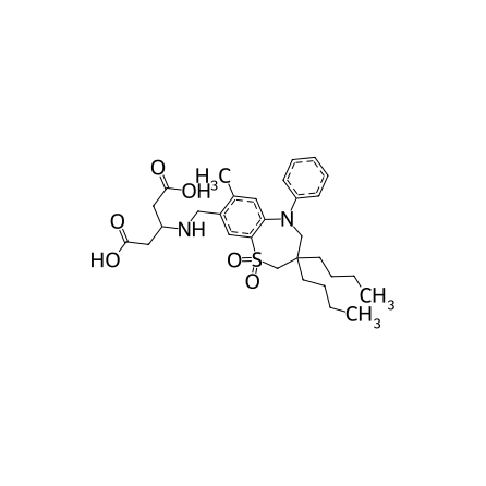 CCCCC1(CCCC)CN(c2ccccc2)c2cc(C)c(CNC(CC(=O)O)CC(=O)O)cc2S(=O)(=O)C1